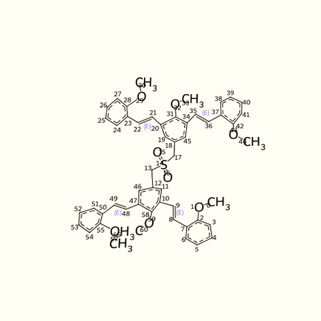 COc1ccccc1/C=C/c1cc(CS(=O)(=O)Cc2cc(/C=C/c3ccccc3OC)c(OC)c(/C=C/c3ccccc3OC)c2)cc(/C=C/c2ccccc2OC)c1OC